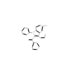 C=C(c1ccccc1)c1c(/C=C\C)c2cc(C)ccc2n1-c1ccccc1